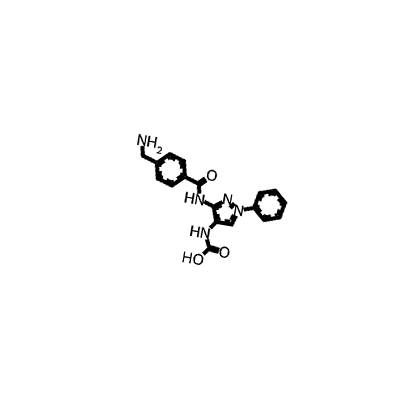 NCc1ccc(C(=O)Nc2nn(-c3ccccc3)cc2NC(=O)O)cc1